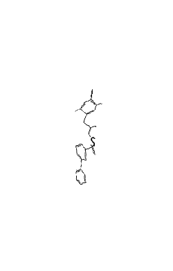 C=C(S/C=C(\C)Cc1cc(C)c(I)cc1C)c1cccc(-c2ccccc2)c1